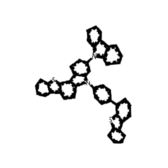 c1ccc2c(c1)sc1c(-c3ccc(-n4c5cc(-n6c7ccccc7c7ccccc76)ccc5c5c6sc7ccccc7c6ccc54)cc3)cccc12